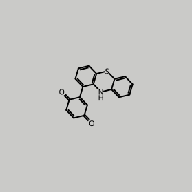 O=C1C=CC(=O)C(c2cccc3c2Nc2ccccc2S3)=C1